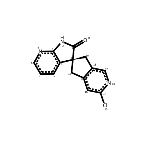 O=C1Nc2ncccc2[C@]12Cc1cnc(Cl)cc1C2